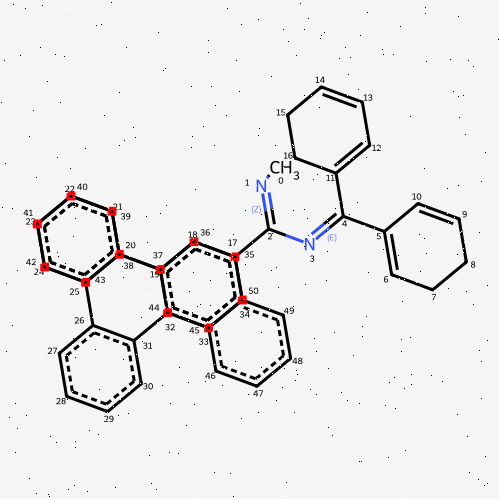 C/N=C(\N=C(\C1=CCCC=C1)C1=CC=CCC1)c1cc(-c2ccccc2-c2ccccc2-c2ccccc2-c2ccccc2)cc2ccccc12